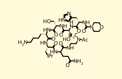 CC(=O)N(C)CCNC(=O)C(CCC(N)=O)NC(=O)[C@H](CC(C)C)NC(=O)[C@H](CCCCN)NC(=O)[C@H](CO)NC(=O)[C@H](CO)NC(=O)[C@H](Cc1c[nH]cn1)NC(=O)N1CCOCC1